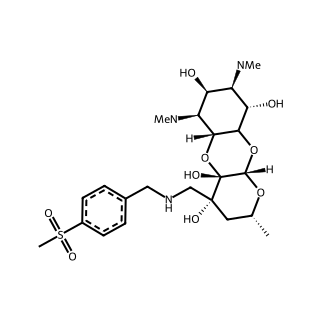 CN[C@@H]1[C@H](O)[C@H](NC)[C@H]2O[C@]3(O)[C@H](OC2[C@H]1O)O[C@H](C)C[C@@]3(O)CNCc1ccc(S(C)(=O)=O)cc1